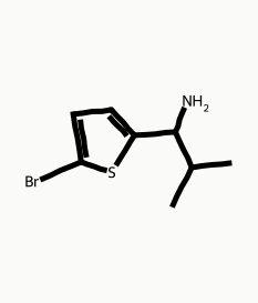 CC(C)C(N)c1ccc(Br)s1